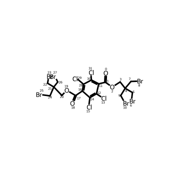 O=C(OCC(CBr)(CBr)CBr)c1c(Cl)c(Cl)c(C(=O)OCC(CBr)(CBr)CBr)c(Cl)c1Cl